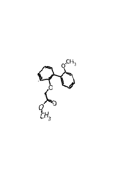 COC(=O)COc1[c]cccc1-c1ccccc1OC